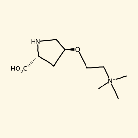 C[N+](C)(C)CCO[C@@H]1CN[C@@H](C(=O)O)C1